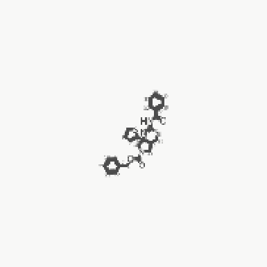 O=C(NC1=NC2(c3cccs3)CN(C(=O)OCc3ccccc3)CC2CS1)c1ccccc1